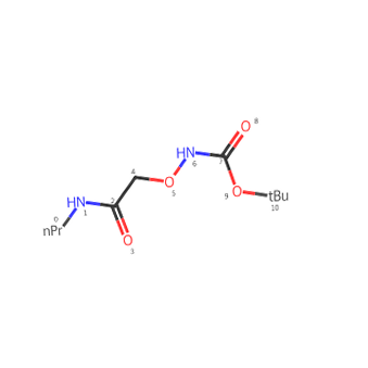 [CH2]CCNC(=O)CONC(=O)OC(C)(C)C